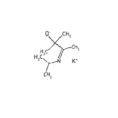 CC(=NC(C)C)C(C)(C)[O-].[K+]